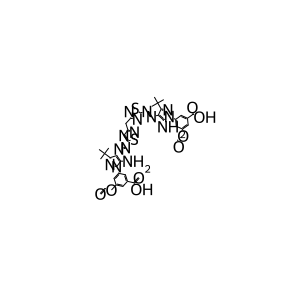 CC(C)(C)c1nn(-c2cc(OC=O)cc(C(=O)O)c2)c(N)c1N=Nc1nc(Cc2nsc(N=Nc3c(C(C)(C)C)nn(-c4cc(OC=O)cc(C(=O)O)c4)c3N)n2)ns1